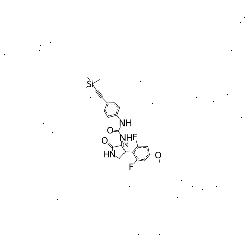 COc1cc(F)c(C2CNC(=O)[C@H]2NC(=O)Nc2ccc(C#C[Si](C)(C)C)cc2)c(F)c1